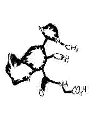 Cn1ccnc1-c1cc2nccnc2c(C(=O)NCC(=O)O)c1O